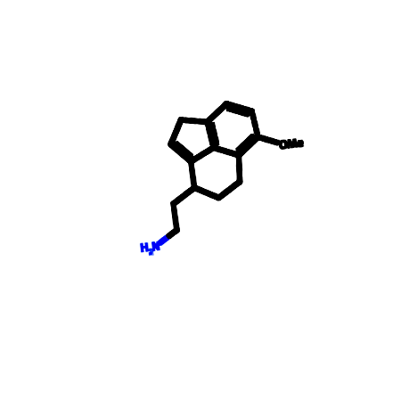 COc1ccc2c3c1CCC(CCN)C3=CC2